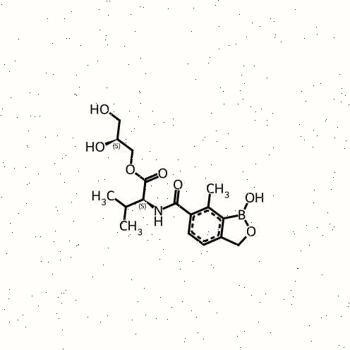 Cc1c(C(=O)N[C@H](C(=O)OC[C@@H](O)CO)C(C)C)ccc2c1B(O)OC2